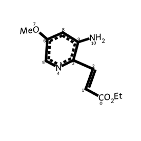 CCOC(=O)C=Cc1ncc(OC)cc1N